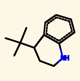 CC(C)(C)C1CCNc2ccccc21